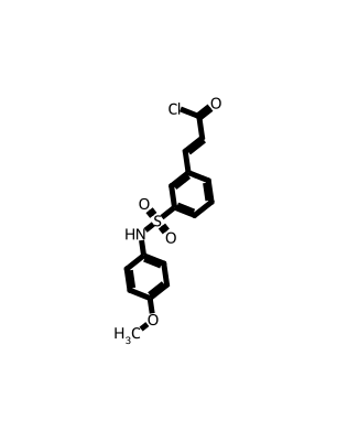 COc1ccc(NS(=O)(=O)c2cccc(C=CC(=O)Cl)c2)cc1